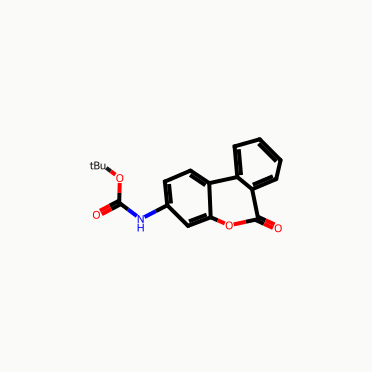 CC(C)(C)OC(=O)Nc1ccc2c(c1)oc(=O)c1ccccc12